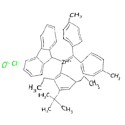 CCC1=[C]([Zr+2](=[C](c2ccc(C)cc2)c2ccc(C)cc2)[CH]2c3ccccc3-c3ccccc32)C(CC)C=C1C(C)(C)C.[Cl-].[Cl-]